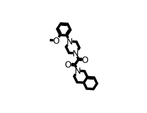 COc1ccccc1N1CCN(C(=O)C(=O)N2CCC3CCCC=C3C2)CC1